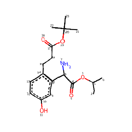 CC(C)OC(=O)C(N)c1cc(O)ccc1CCC(=O)OC(C)(C)C